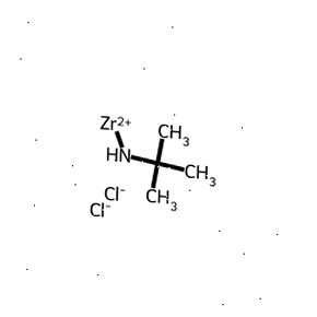 CC(C)(C)[NH][Zr+2].[Cl-].[Cl-]